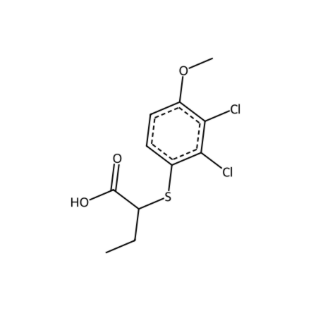 CCC(Sc1ccc(OC)c(Cl)c1Cl)C(=O)O